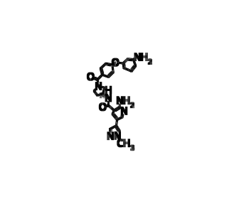 Cn1cc(-c2cnc(N)c(C(=O)N[C@@H]3CCN(C(=O)c4ccc(Oc5cccc(N)c5)cc4)C3)c2)cn1